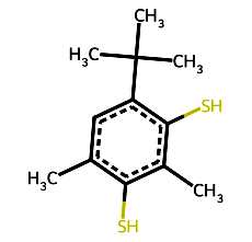 Cc1cc(C(C)(C)C)c(S)c(C)c1S